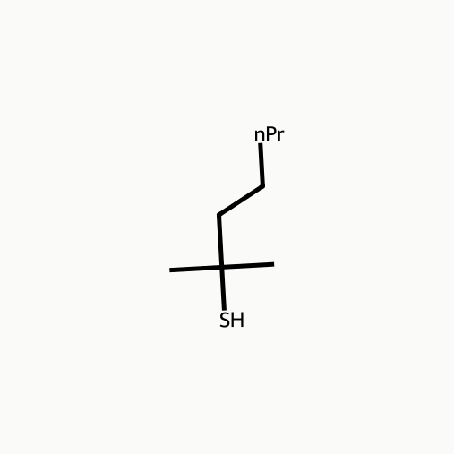 CCCCCC(C)(C)S